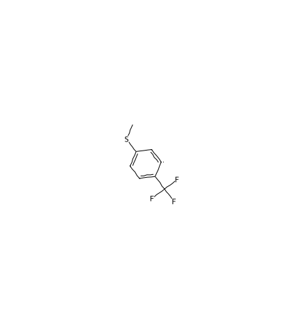 CSc1c[c]c(C(F)(F)F)cc1